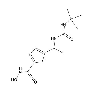 CC(NC(=O)NC(C)(C)C)c1ccc(C(=O)NO)s1